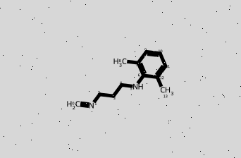 C=NCCCNc1c(C)cccc1C